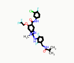 C=C(C)C(=O)NCc1ccc(F)c(Nc2nc3cc(C(=O)Nc4ccc(F)c(Cl)c4)c(OCC(F)F)cc3n2C)c1F